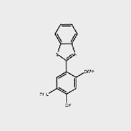 COc1cc(O)c(C=O)cc1-c1nc2ccccc2s1